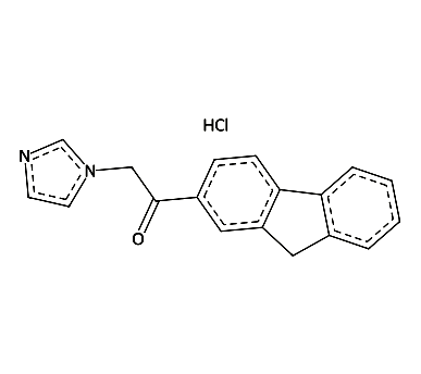 Cl.O=C(Cn1ccnc1)c1ccc2c(c1)Cc1ccccc1-2